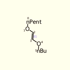 CCCCCO/C=C/OCCCC